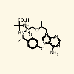 CC(Cn1cnc2c(N)ncnc21)OCP(=O)(N[C@@H](C)c1ccc(Cl)cc1)NC(C)(C)C(=O)O